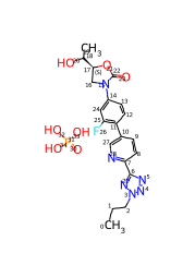 CCCn1nnc(-c2ccc(-c3ccc(N4C[C@@H](C(C)O)OC4=O)cc3F)cn2)n1.O=P(O)(O)O